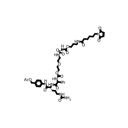 CC(=O)OCc1ccc(NC(=O)[C@@H](CCCNC(N)=O)NC(=O)C(NC(=O)OCCOCCNS(=O)(=O)NC(=O)OCCCNC(=O)CCCCCN2C(=O)C=CC2=O)C(C)C)cc1